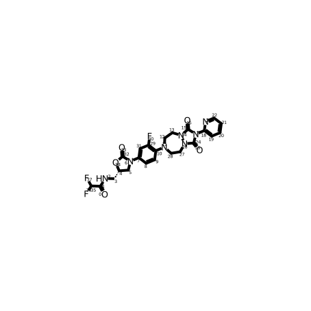 O=C(NC[C@H]1CN(c2ccc(N3CCn4c(=O)n(-c5ccccn5)c(=O)n4CC3)c(F)c2)C(=O)O1)C(F)F